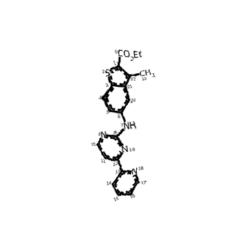 CCOC(=O)c1sc2ccc(Nc3nccc(-c4ccccn4)n3)cc2c1C